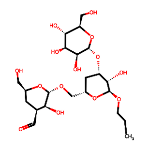 CCCO[C@H]1O[C@H](CO[C@H]2O[C@H](CO)C[C@H](C=O)[C@@H]2O)C[C@H](O[C@H]2O[C@H](CO)[C@@H](O)[C@H](O)[C@@H]2O)[C@@H]1O